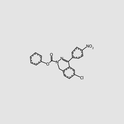 O=C(Oc1ccccc1)N1Cc2ccc(Cl)cc2C(c2ccc([N+](=O)[O-])cc2)=N1